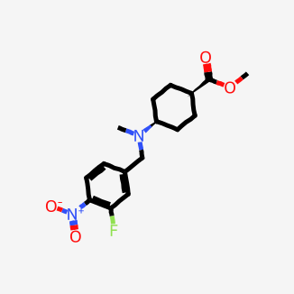 COC(=O)[C@H]1CC[C@@H](N(C)Cc2ccc([N+](=O)[O-])c(F)c2)CC1